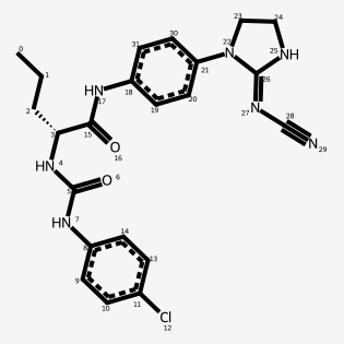 CCC[C@@H](NC(=O)Nc1ccc(Cl)cc1)C(=O)Nc1ccc(N2CCN/C2=N\C#N)cc1